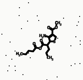 CCCCC(=O)OC(=O)C(CCC)C1SCC(C(=O)OC)=C1N